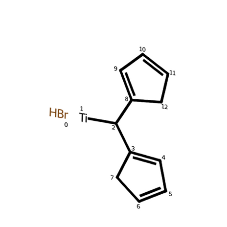 Br.[Ti][CH](C1=CC=CC1)C1=CC=CC1